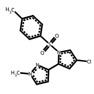 Cc1ccc(S(=O)(=O)n2cc(Cl)cc2-c2ccn(C)n2)cc1